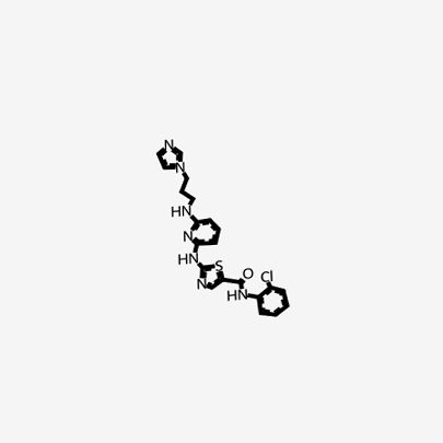 O=C(Nc1ccccc1Cl)c1cnc(Nc2cccc(NCCCn3ccnc3)n2)s1